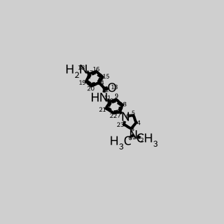 CN(C)C1CCN(c2ccc(NC(=O)c3ccc(N)cc3)cc2)C1